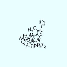 COC(C)(C)N1C(N)=c2c(C)c(-c3ccccc3)sc2=NC1N